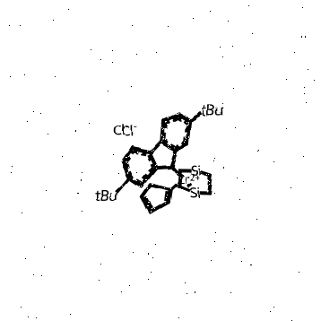 CC(C)(C)c1ccc2c(c1)[CH]([Zr+2]1([C]3=CC=CC3)=[Si]3CC[Si]=1CC3)c1cc(C(C)(C)C)ccc1-2.[Cl-].[Cl-]